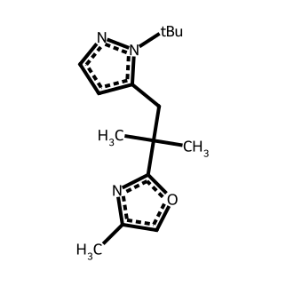 Cc1coc(C(C)(C)Cc2ccnn2C(C)(C)C)n1